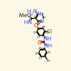 COC(=N)c1c(N)ncnc1Oc1ccc(NC(=O)Nc2cccc(C)c2)c(Cl)c1